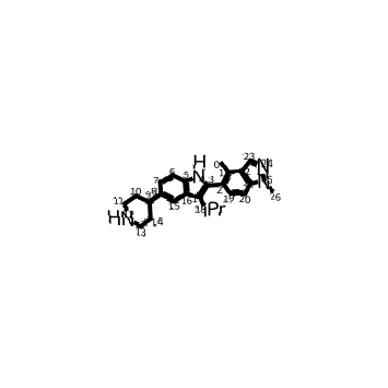 Cc1c(-c2[nH]c3ccc(C4CCNCC4)cc3c2C(C)C)ccc2c1cnn2C